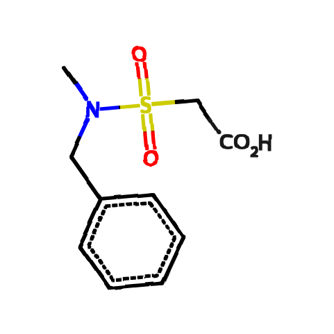 CN(Cc1ccccc1)S(=O)(=O)CC(=O)O